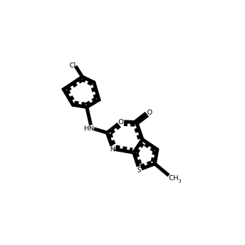 Cc1cc2c(=O)oc(Nc3ccc(Cl)cc3)nc2s1